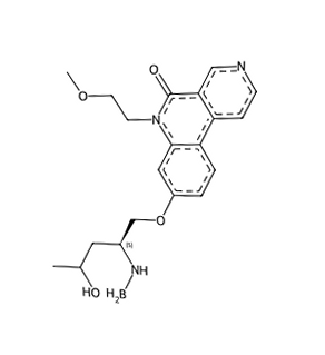 BN[C@H](COc1ccc2c3ccncc3c(=O)n(CCOC)c2c1)CC(C)O